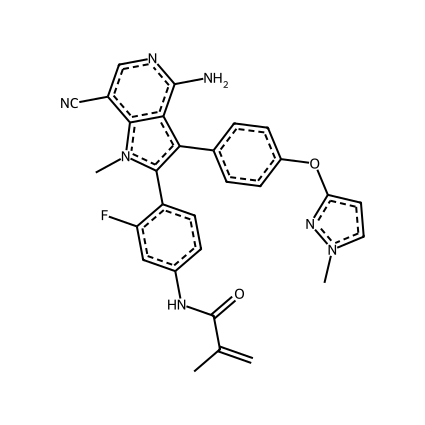 C=C(C)C(=O)Nc1ccc(-c2c(-c3ccc(Oc4ccn(C)n4)cc3)c3c(N)ncc(C#N)c3n2C)c(F)c1